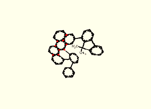 CC1(C)c2ccccc2-c2cccc(-c3cccc(N(c4ccccc4-c4ccccc4)c4cccc(-c5ccccc5)c4-c4ccccc4-c4ccccc4)c3)c21